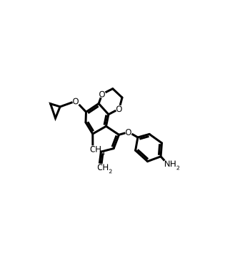 C=C/C=C(/Oc1ccc(N)cc1)c1c(C)cc(OC2CC2)c2c1OCCO2